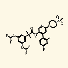 Cc1cc(F)ccc1-c1cc(N2CCN(S(C)(=O)=O)CC2)ncc1N(C)C(=O)C(C)(C)c1cc(OC(F)F)cc(OC(F)F)c1